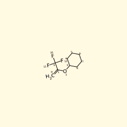 C=C(OC1CCCCC1)C(F)(F)F